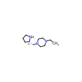 CCN1CCN(C[C@@H]2CCCN2)CC1